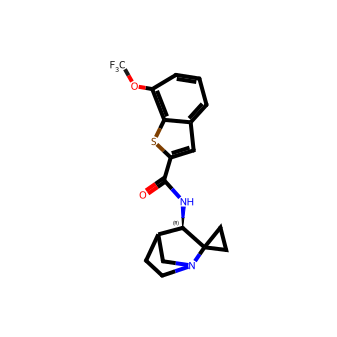 O=C(N[C@@H]1C2CCN(C2)C12CC2)c1cc2cccc(OC(F)(F)F)c2s1